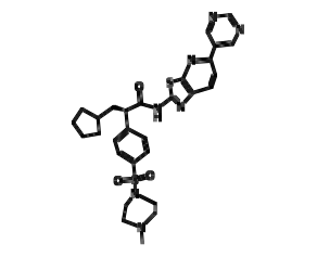 CN1CCN(S(=O)(=O)c2ccc([C@@H](CC3CCCC3)C(=O)Nc3nc4ccc(-c5cncnc5)nc4s3)cc2)CC1